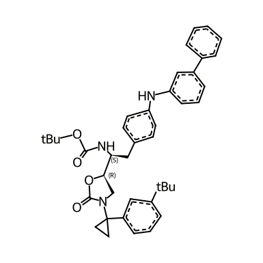 CC(C)(C)OC(=O)N[C@@H](Cc1ccc(Nc2cccc(-c3ccccc3)c2)cc1)[C@H]1CN(C2(c3cccc(C(C)(C)C)c3)CC2)C(=O)O1